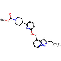 CCOC(=O)Cc1cc2c(COc3cccc(C4CCN(C(=O)OC(C)(C)C)CC4)n3)cccn2n1